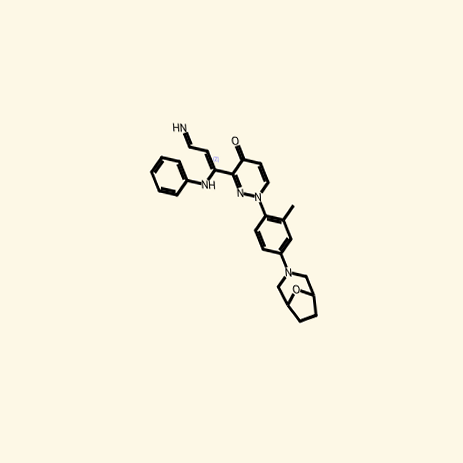 Cc1cc(N2CC3CCC(C2)O3)ccc1-n1ccc(=O)c(/C(=C/C=N)Nc2ccccc2)n1